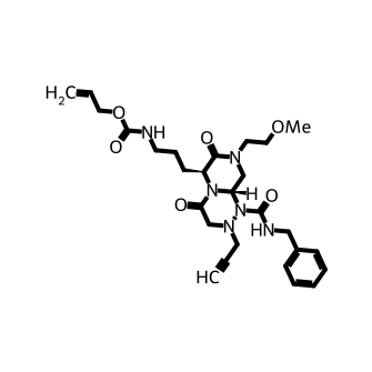 C#CCN1CC(=O)N2[C@@H](CCCNC(=O)OCC=C)C(=O)N(CCOC)C[C@@H]2N1C(=O)NCc1ccccc1